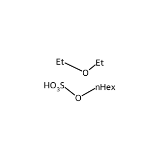 CCCCCCOS(=O)(=O)O.CCOCC